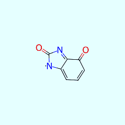 O=C1[N]C2=CC=CC(=O)C2=N1